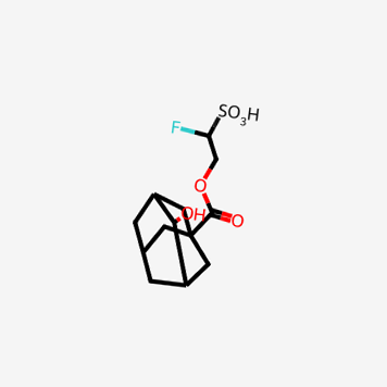 O=C(OCC(F)S(=O)(=O)O)C12CC3CC(C1)C(O)C(C3)C2